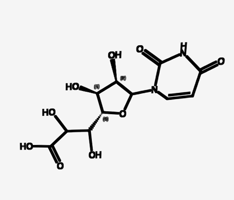 O=C(O)C(O)C(O)[C@H]1OC(n2ccc(=O)[nH]c2=O)[C@H](O)[C@@H]1O